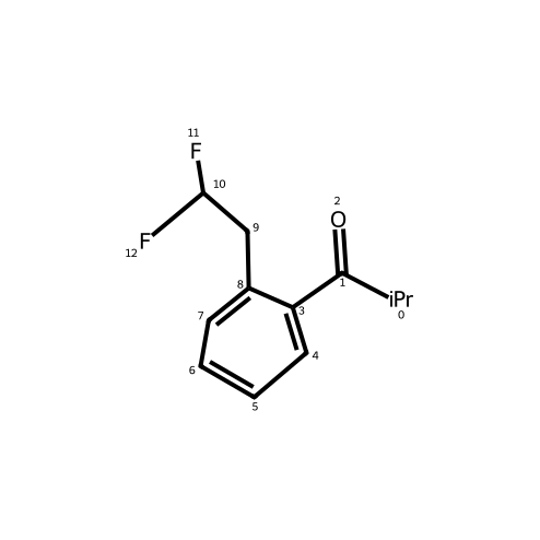 CC(C)C(=O)c1ccccc1CC(F)F